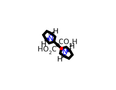 CN1[C@@H]2CC[C@H]1CC(C(C(=O)O)(C(=O)O)C1C[C@H]3CC[C@@H](C1)N3C)C2